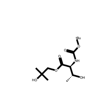 C[C@@H](O)[C@H](NC(=O)OC(C)(C)C)C(=O)OCC(C)(C)O